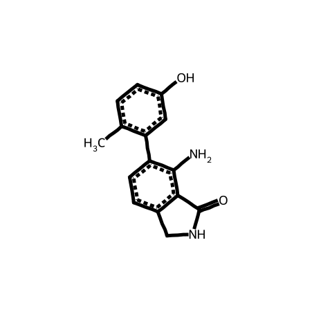 Cc1ccc(O)cc1-c1ccc2c(c1N)C(=O)NC2